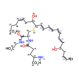 CC/C=C\CC(O)/C=C/C=C\C=C\C=C\C(SCC(NC(=O)CCC(N)C(=O)O)C(=O)NCC(=O)O)C(O)C/C=C\CCC(=O)O